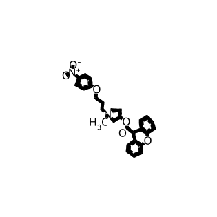 C[N+]1(CCCOc2ccc([N+](=O)[O-])cc2)CCC(OC(=O)C2c3ccccc3Oc3ccccc32)C1